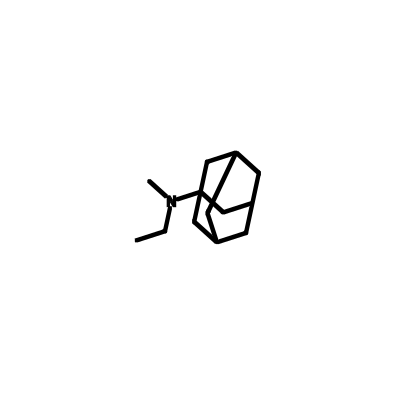 CCN(C)C12CC3CC(CC(C3)C1)C2